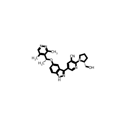 Cc1cnnc(C)c1[C@@H](C)Oc1ccc2[nH]nc(-c3cnc(N4CCC[C@@H]4CO)c(C#N)c3)c2c1